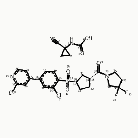 N#CC1(NC(=O)O)CC1.O=C([C@@H]1CC[C@@H](S(=O)(=O)c2ccc(-c3ccnc(Cl)c3)cc2Cl)C1)N1CCC(F)(F)C1